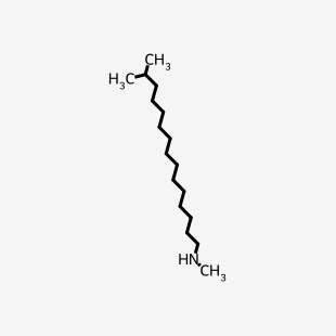 CNCCCCCCCCCCCCCC(C)C